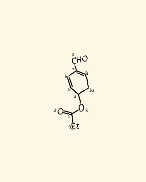 CCC(=O)OC1C=CC(C=O)=CC1